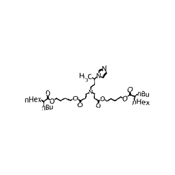 CCCCCCC(CCCC)C(=O)OCCCCOC(=O)CCN(CCC(=O)OCCCCOC(=O)C(CCCC)CCCCCC)CCC(C)n1ccnc1